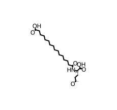 O=[C]CC[C@H](NC(=O)CCCCCCCCCCCCCCC(=O)O)C(=O)O